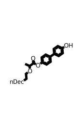 CCCCCCCCCCCCOC(C)C(=O)Oc1ccc(-c2ccc(O)cc2)cc1